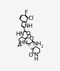 NC(=O)[C@H](C[C@@H]1CCCNC1=O)NC(=O)C(CC1CC1)NC(=O)c1cc2ccc(F)c(Cl)c2[nH]1